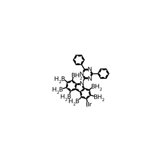 Bc1c(B)c(B)c2c(c1B)c1c(B)c(Br)c(B)c(B)c1n2-c1nc(-c2ccccc2)nc(-c2ccccc2)n1